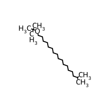 CC(C)CCCCCCCCCCCCCCCOC(C)(C)C